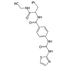 CC(C)CC(NC(=O)c1ccc(NC(=O)Nc2nccs2)cc1)C(=O)NCC#N